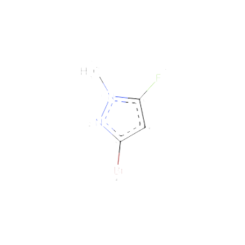 Cn1nc(Br)cc1F